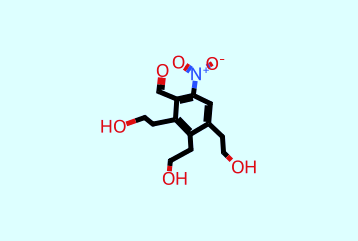 O=Cc1c([N+](=O)[O-])cc(CCO)c(CCO)c1CCO